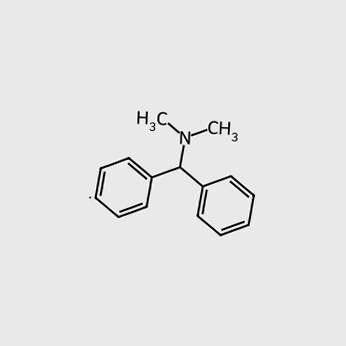 CN(C)C(c1cc[c]cc1)c1ccccc1